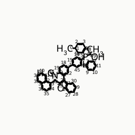 CC1C=CC=C([PH](c2ccccc2)(c2ccc(-c3ccc4c(c3)-c3c(oc5ccccc35)C(c3cccc5ccccc35)N4C)cc2)C(C)O)C1